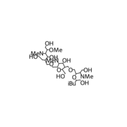 CCC(C)C(CO)OC(COCC1C(CO)OC(COCC(CCO)C(O)C(NC)C(CO)OC)C(NC)C1O)C(CO)NC